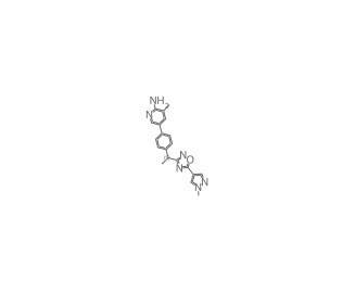 Cc1cc(-c2ccc([C@H](C)c3noc(-c4cnn(C)c4)n3)cc2)cnc1N